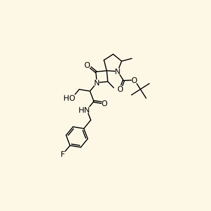 CC1CCC2(C(=O)N(C(CO)C(=O)NCc3ccc(F)cc3)C2C)N1C(=O)OC(C)(C)C